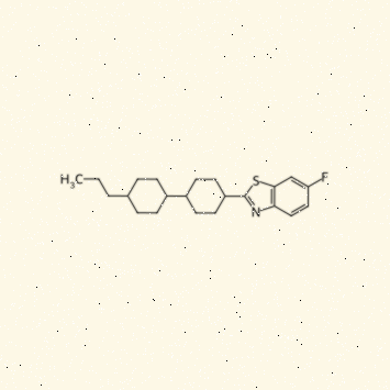 CCCC1CCC(C2CCC(c3nc4ccc(F)cc4s3)CC2)CC1